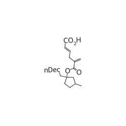 C=C(CC=CC(=O)O)C(=O)OC1(CCCCCCCCCCC)CCC(C)C1